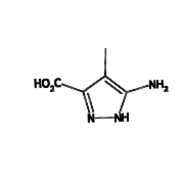 Cc1c(C(=O)O)n[nH]c1N